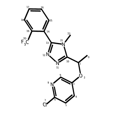 CC(Oc1ccc(Cl)nc1)c1nnc(-c2ccccc2C(F)(F)F)n1C